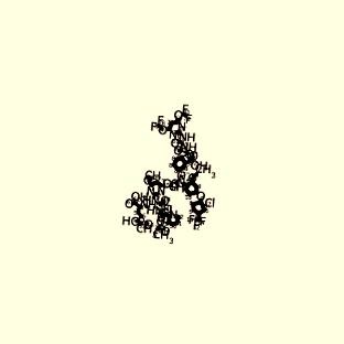 CCOc1cc(Oc2ccc(C(F)(F)F)cc2Cl)ccc1[N+](=O)[O-].CCS(=O)(=O)c1cccnc1S(=O)(=O)NC(=O)Nc1nc(OC)cc(OC)n1.CP(=O)(O)CCC(N)C(=O)O.O=C(Nc1nc(OC(F)F)cc(OC(F)F)n1)NS(=O)(=O)c1ccccc1C(=O)O